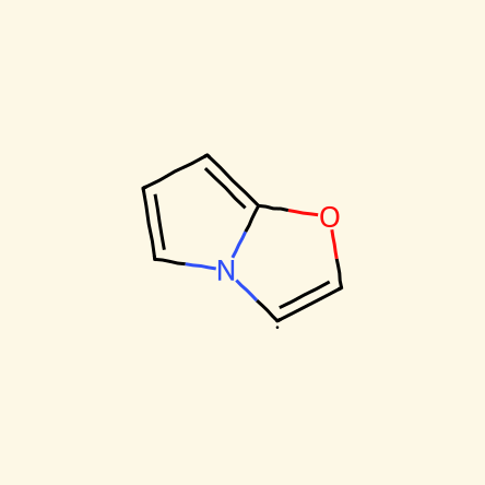 [c]1coc2cccn12